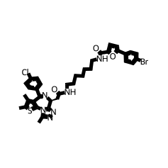 Cc1sc2c(c1C)C(c1ccc(Cl)cc1)=N[C@@H](CC(=O)NCCCCCCCNC(=O)c1ccc(-c3ccc(Br)cc3)o1)c1nnc(C)n1-2